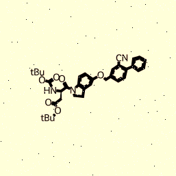 CC(C)(C)OC(=O)C[C@@H](NC(=O)OC(C)(C)C)C(=O)N1CCc2cc(OCc3ccc(-c4ccccc4)c(C#N)c3)ccc21